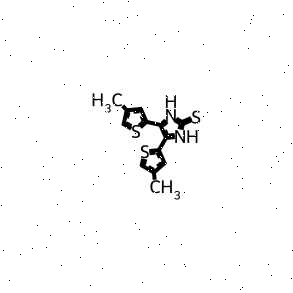 Cc1csc(-c2[nH]c(=S)[nH]c2-c2cc(C)cs2)c1